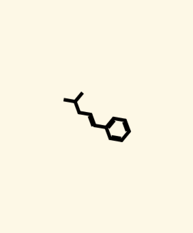 CC(C)CC=Cc1ccccc1